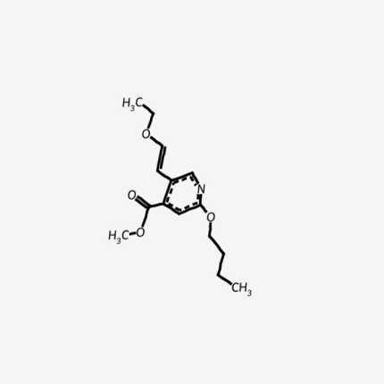 CCCCOc1cc(C(=O)OC)c(/C=C/OCC)cn1